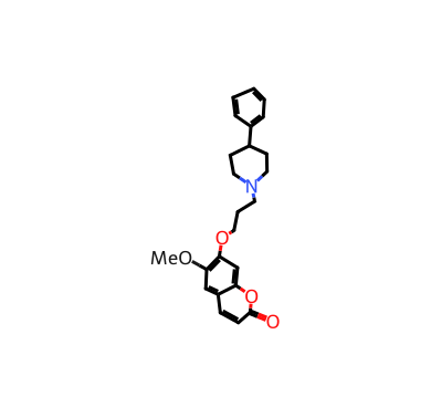 COc1cc2ccc(=O)oc2cc1OCCCN1CCC(c2ccccc2)CC1